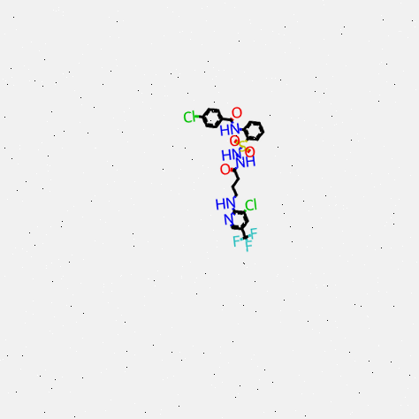 O=C(CCCNc1ncc(C(F)(F)F)cc1Cl)NNS(=O)(=O)c1ccccc1NC(=O)c1ccc(Cl)cc1